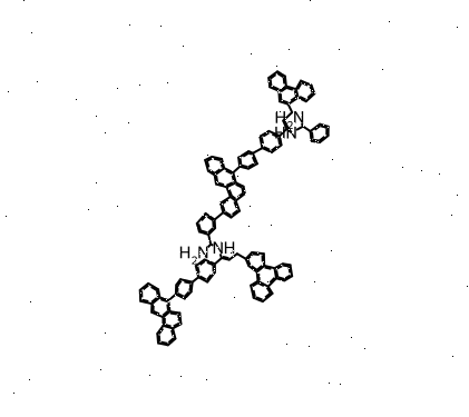 NC(N/C(=C\Cc1cc2ccccc2c2ccccc12)c1ccc(-c2ccc(-c3c4ccccc4cc4c3ccc3ccc(-c5cccc(C(N)N/C(=C\Cc6ccc7c8ccccc8c8ccccc8c7c6)c6ccc(-c7ccc(-c8c9ccccc9cc9c8ccc8ccccc89)cc7)cc6)c5)cc34)cc2)cc1)c1ccccc1